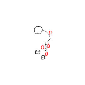 CCO[SiH](OCC)OCCC1OC1C1CCCCC1